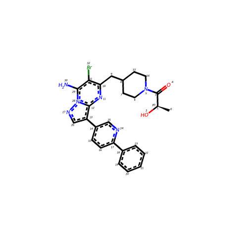 C[C@@H](O)C(=O)N1CCC(Cc2nc3c(-c4ccc(-c5ccccc5)nc4)cnn3c(N)c2Br)CC1